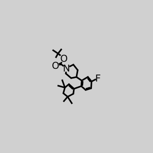 CC1(C)C=C(c2ccc(F)cc2C2CCN(C(=O)OC(C)(C)C)CC2)CC(C)(C)C1